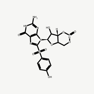 Nc1nc2c(nc(S(=O)(=O)c3ccc(O)cc3)n2[C@@H]2OC3CO[PH](=O)O[C@H]3C2O)c(=O)[nH]1